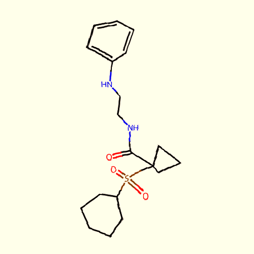 O=C(NCCNc1ccccc1)C1(S(=O)(=O)C2CCCCC2)CCC1